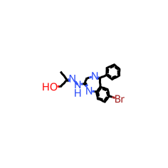 CC(CO)=NNC1=Nc2ccc(Br)cc2C(c2ccccc2)=NC1